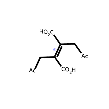 CC(=O)C/C(C(=O)O)=C(/CC(C)=O)C(=O)O